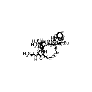 C=CCNC(=O)C(=O)[C@@H]1CCCCCCCO[C@@H](C)[C@H](NC(=O)NC2(CS(=O)(=O)C(C)(C)C)CCCCC2)C(=O)N2C[C@H]3[C@@H]([C@H]2C(=O)N1)C3(C)C